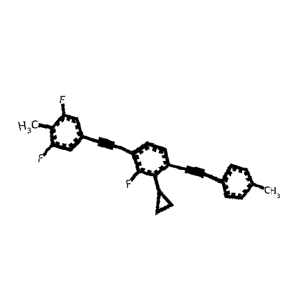 Cc1ccc(C#Cc2ccc(C#Cc3cc(F)c(C)c(F)c3)c(F)c2C2CC2)cc1